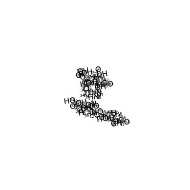 CC(=O)O.CC(=O)OC1=CC(=O)C=C2CC[C@@H]3[C@H]([C@@H](O)C[C@@]4(C)[C@H]3CC[C@]4(O)C(=O)CO)[C@]21C.CC(C)c1ccccc1OCC1=NCCN1.C[C@]12C=CC(=O)C=C1CC[C@@H]1[C@@H]2[C@@H](O)C[C@@]2(C)[C@H]1CC[C@]2(O)C(=O)CO.C[C@]12C=CC(=O)C=C1CC[C@@H]1[C@@H]2[C@@H](O)C[C@@]2(C)[C@H]1CC[C@]2(O)C(=O)COP(=O)(O)O